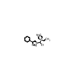 C=C[Si](C=C)(C=C)C(CC)n1cc(-c2ccccc2)nn1